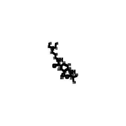 CCN(CC)CCCNC(=O)c1ccc(NC(=O)C(C)C)c(OC)c1